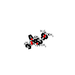 COc1ccc(CN(Cc2ccc(OC)cc2)c2cc(C)c(C(F)(F)F)c(-c3c(C(F)F)c(OC)c4c(N5CC6CCC(C5)N6C(=O)OC(C)(C)C)nc(OC[C@@]56CCCN5C[C@H](F)C6)nc4c3F)n2)cc1